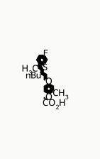 CCCCC(CCOc1ccc(OCC(=O)O)c(C)c1)c1sc2cc(F)ccc2c1C